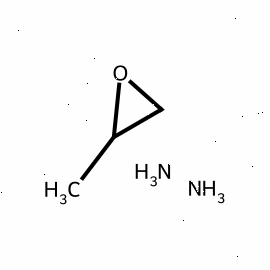 CC1CO1.N.N